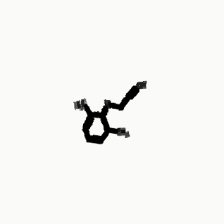 C#CCOc1c(C)cccc1C